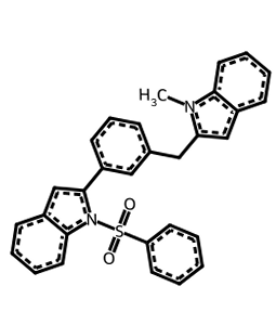 Cn1c(Cc2cccc(-c3cc4ccccc4n3S(=O)(=O)c3ccccc3)c2)cc2ccccc21